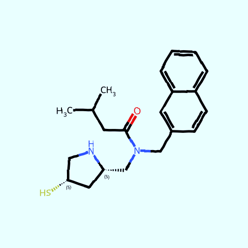 CC(C)CC(=O)N(Cc1ccc2ccccc2c1)C[C@@H]1C[C@H](S)CN1